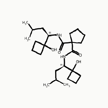 CC(C)C[C@@H](NC(=O)C1(C(=O)N[C@H](CC(C)C)C2(O)CCC2)CCCC1)C1(O)CCC1